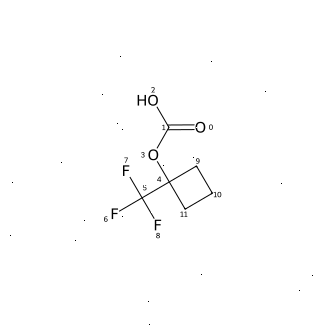 O=C(O)OC1(C(F)(F)F)CCC1